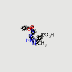 Cc1cnc(Nc2cnn(C3CCCN(C(=O)OCc4ccccc4)C3)c2)nc1-c1ccc(C(=O)O)cc1